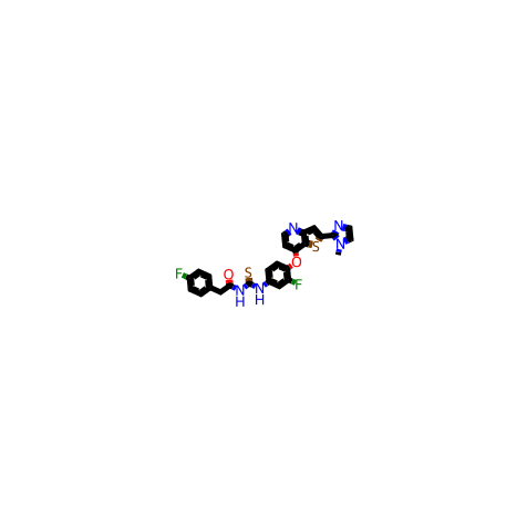 Cn1ccnc1-c1cc2nccc(Oc3ccc(NC(=S)NC(=O)Cc4ccc(F)cc4)cc3F)c2s1